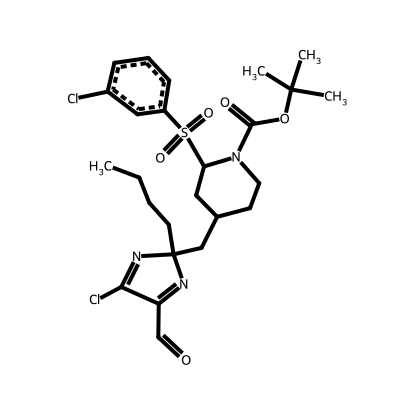 CCCCC1(CC2CCN(C(=O)OC(C)(C)C)C(S(=O)(=O)c3cccc(Cl)c3)C2)N=C(Cl)C(C=O)=N1